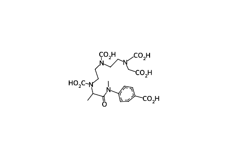 CC(C(=O)N(C)c1ccc(C(=O)O)cc1)N(CCN(CCN(CC(=O)O)C(=O)O)C(=O)O)C(=O)O